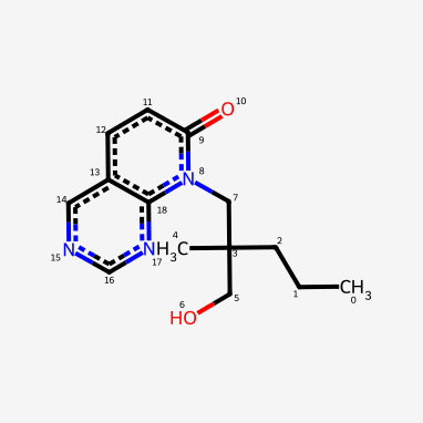 CCCC(C)(CO)Cn1c(=O)ccc2cncnc21